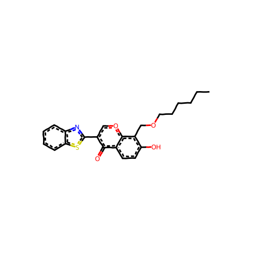 CCCCCCOCc1c(O)ccc2c(=O)c(-c3nc4ccccc4s3)coc12